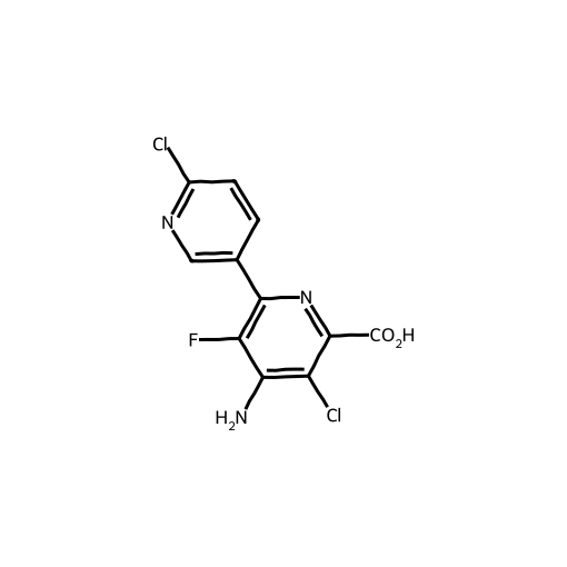 Nc1c(F)c(-c2ccc(Cl)nc2)nc(C(=O)O)c1Cl